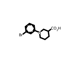 O=C(O)C1CCCN(c2cccc(Br)c2)C1